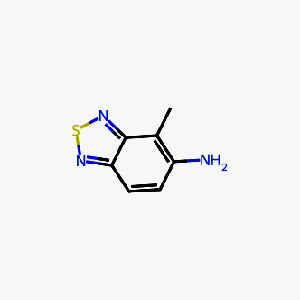 Cc1c(N)ccc2nsnc12